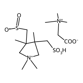 CC1(CS(=O)[O-])C[N+](C)(C)CC1(C)CS(=O)(=O)O.C[N+](C)(C)CC(=O)[O-]